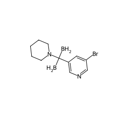 BC(B)(c1cncc(Br)c1)N1CCCCC1